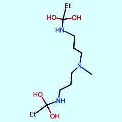 CCC(O)(O)NCCCN(C)CCCNC(O)(O)CC